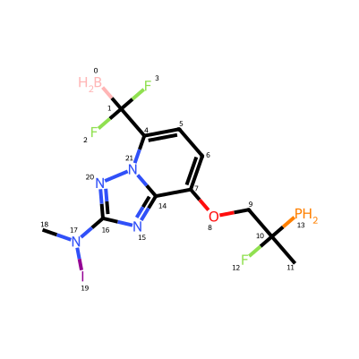 BC(F)(F)c1ccc(OCC(C)(F)P)c2nc(N(C)I)nn12